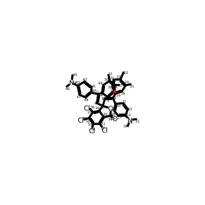 Cc1ccc(C(=CC2(C=C(c3ccc(N(C)C)cc3)c3ccc(C)c(C)c3)OC(=O)c3c(Cl)c(Cl)c(Cl)c(Cl)c32)c2ccc(N(C)C)cc2)cc1C